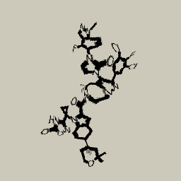 C[C@@H]1c2c(-n3ccn(-c4ccc5c(cnn5C)c4F)c3=O)c(-c3cc(Cl)c(F)c(Cl)c3)nn2CCN1C(=O)c1cc2c(n1C1(c3noc(=O)[nH]3)CC1)C=CC([C@@H]1CCOC(C)(C)C1)C2